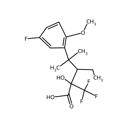 CCC(C(C)(C)c1cc(F)ccc1OC)C(O)(C(=O)O)C(F)(F)F